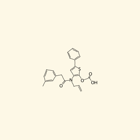 C=CCN(C(=O)Cc1cccc(C)c1)c1cc(-c2ccccc2)sc1OC(=O)O